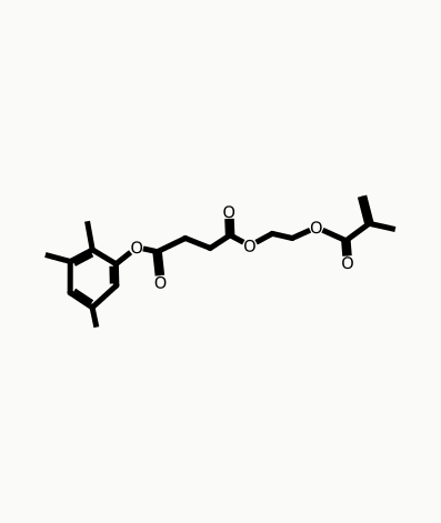 C=C(C)C(=O)OCCOC(=O)CCC(=O)Oc1cc(C)cc(C)c1C